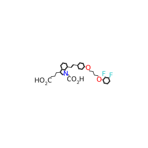 O=C(O)CCCc1cn(CC(=O)O)c2c(C=Cc3ccc(OCCCCOc4cccc(F)c4F)cc3)cccc12